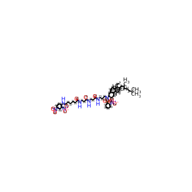 CC(C)CCC[C@@H](C)[C@H]1CC[C@H]2[C@@H]3CC=C4C[C@@H](N(CCCNC(=O)CCNC(=O)CCNC(=O)CCCCCNc5ccc([N+](=O)[O-])cc5[N+](=O)[O-])S(=O)(=O)c5ccccc5[N+](=O)[O-])CC[C@]4(C)[C@H]3CC[C@]12C